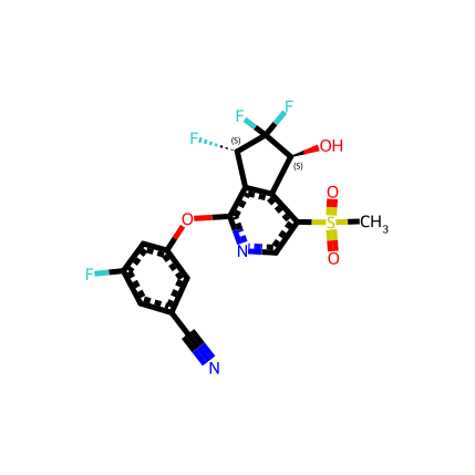 CS(=O)(=O)c1cnc(Oc2cc(F)cc(C#N)c2)c2c1[C@H](O)C(F)(F)[C@H]2F